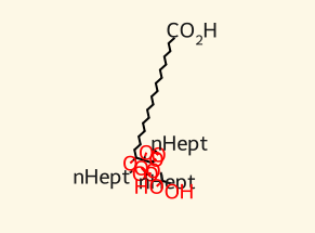 CCCCCCCC(=O)OC(CCCCCCCCCCCCCCCCCCC(=O)O)C(OC(=O)CCCCCCC)(OC(=O)CCCCCCC)C(=O)OCC(O)CO